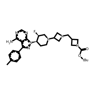 Cc1ccc(-c2nn([C@@H]3CCN(C4CN(CC5CN(C(=O)OC(C)(C)C)C5)C4)C[C@@H]3F)c3ncnc(N)c23)cc1